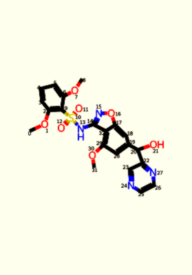 COc1cccc(OC)c1S(=O)(=O)Nc1noc2cc(C(O)c3cnccn3)cc(OC)c12